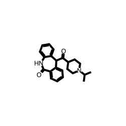 CC(C)N1CCC(C(=O)C2c3ccccc3NC(=O)c3ccccc32)CC1